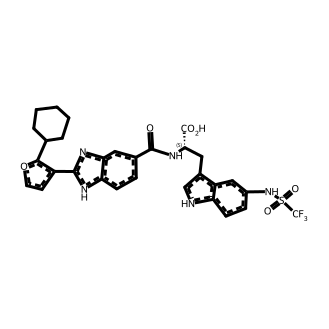 O=C(N[C@@H](Cc1c[nH]c2ccc(NS(=O)(=O)C(F)(F)F)cc12)C(=O)O)c1ccc2[nH]c(-c3ccoc3C3CCCCC3)nc2c1